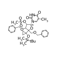 Cc1cn([C@@H]2OC(COCc3ccccc3)(C3(O[Si](C)(C)C(C)(C)C)CC3)C(OCc3ccccc3)C2OS(C)(=O)=O)c(=O)[nH]c1=O